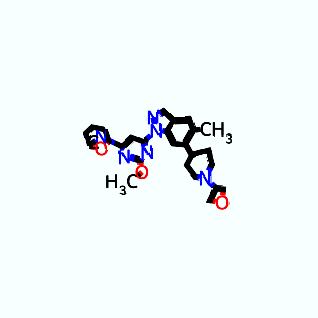 COc1nc(N2CC3CCC2CO3)cc(-n2ncc3cc(C)c(C4CCN(C5COC5)CC4)cc32)n1